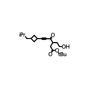 CC(C)CC1CC(C#CC(=O)C(CCO)CC(=O)OC(C)(C)C)C1